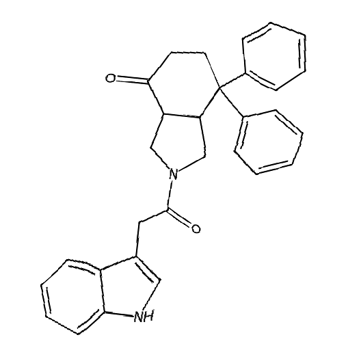 O=C1CCC(c2ccccc2)(c2ccccc2)C2CN(C(=O)Cc3c[nH]c4ccccc34)CC12